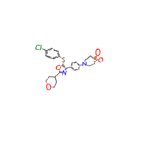 O=S1(=O)CCN(c2ccc(-c3nc(C4CCOCC4)oc3Sc3ccc(Cl)cc3)cc2)CC1